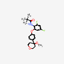 COC1(c2ccc(Oc3cc(F)cc(F)c3NC(=O)C(C)(C)C)cc2)CCOCC1